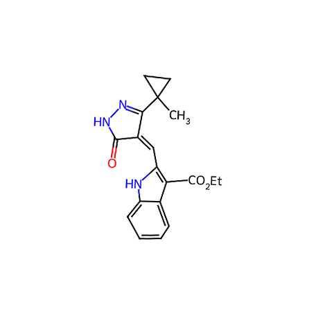 CCOC(=O)c1c(/C=C2\C(=O)NN=C2C2(C)CC2)[nH]c2ccccc12